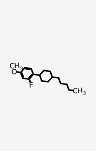 CCCCCC1CCC(c2ccc(OC)cc2F)CC1